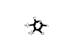 Nc1c(F)nc(F)c(Cl)c1N